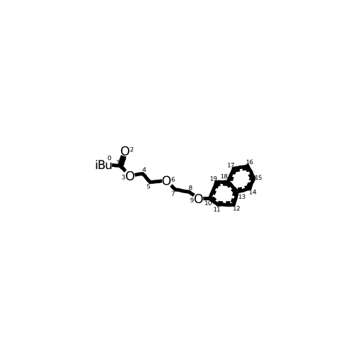 CCC(C)C(=O)OCCOCCOc1ccc2ccccc2c1